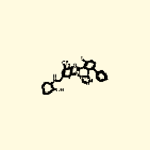 Cn1cnnc1-c1c(-c2ccccc2)ccc(F)c1-c1nc2cc(CNC3CCCCC3O)cc(C(F)(F)F)c2o1